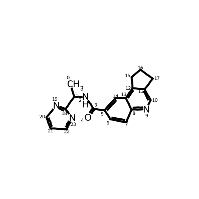 CC(NC(=O)c1ccc2ncc3c(c2c1)CCC3)c1ncccn1